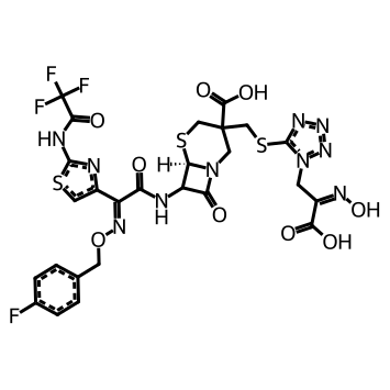 O=C(O)C(Cn1nnnc1SCC1(C(=O)O)CS[C@@H]2C(NC(=O)C(=NOCc3ccc(F)cc3)c3csc(NC(=O)C(F)(F)F)n3)C(=O)N2C1)=NO